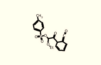 CCOC(OS(=O)(=O)c1ccc(C)cc1)C(=O)C1C=CC=CC1=C=O